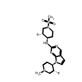 CN1CC[C@@H](n2ccc3cnc(N[C@@H]4CCN(S(C)(=O)=O)C[C@H]4F)nc32)[C@H](F)C1